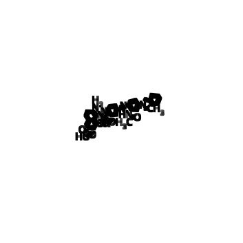 CCN(Cc1ccccc1)c1ccc(/N=N/c2ccc(/N=N/c3c(N)ccc4cc(S(=O)(=O)O)cc(O)c34)c(S(=O)(=O)O)c2)c(NC(C)=O)c1